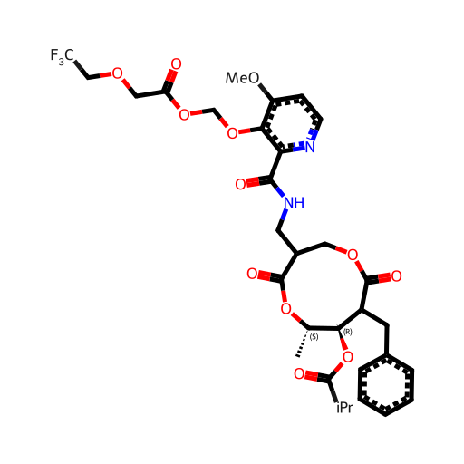 COc1ccnc(C(=O)NCC2COC(=O)C(Cc3ccccc3)[C@@H](OC(=O)C(C)C)[C@H](C)OC2=O)c1OCOC(=O)COCC(F)(F)F